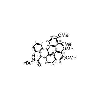 CCCCNC(=O)C(c1ccccc1)N1CCc2cc(OC)c(OC)cc2C1Cc1ccc(OC)c(OC)c1